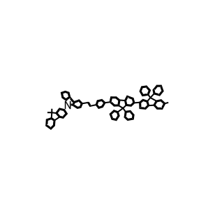 Cc1ccc2c(c1)C(c1ccccc1)(c1ccccc1)c1cc(-c3ccc4c(c3)C(c3ccccc3)(c3ccccc3)c3cc(-c5ccc(/C=C/c6ccc7c(c6)c6ccccc6n7-c6ccc7c(c6)C(C)(C)c6ccccc6-7)cc5)ccc3-4)ccc1-2